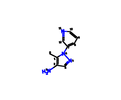 Cc1c(N)cnn1-c1cccnc1